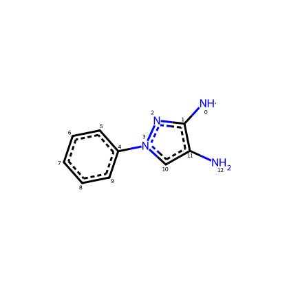 [NH]c1nn(-c2ccccc2)cc1N